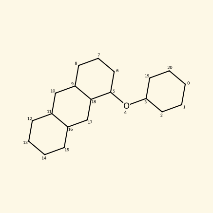 C1CCC(OC2CCCC3CC4CCCCC4CC32)CC1